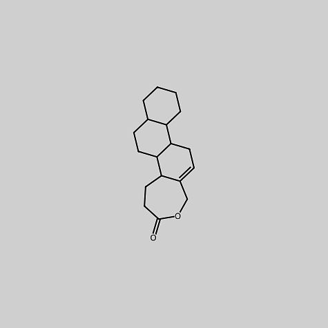 O=C1CCC2C(=CCC3C4CCCCC4CCC23)CO1